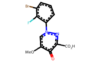 COc1cn(-c2cccc(Br)c2F)nc(C(=O)O)c1=O